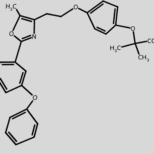 Cc1oc(-c2cccc(Oc3ccccc3)c2)nc1CCOc1ccc(OC(C)(C)C(=O)O)cc1